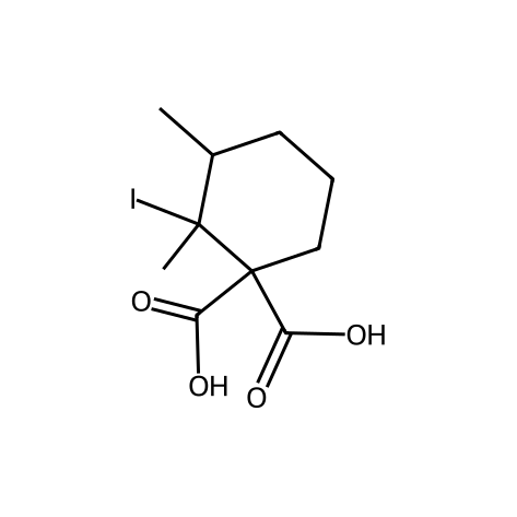 CC1CCCC(C(=O)O)(C(=O)O)C1(C)I